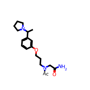 CC(=O)N(CCCOc1cccc(C(C)N2CCCC2)c1)CC(N)=O